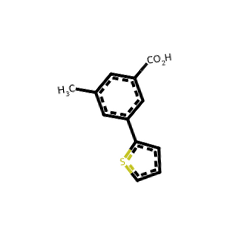 Cc1cc(C(=O)O)cc(-c2cccs2)c1